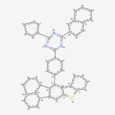 c1ccc(-c2nc(-c3ccc(-c4c5c(cc6sc7ccccc7c46)-c4cccc6cccc-5c46)cc3)nc(-c3ccc4ccccc4c3)n2)cc1